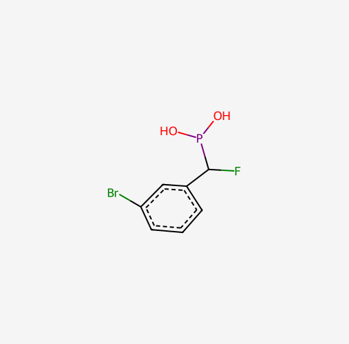 OP(O)C(F)c1cccc(Br)c1